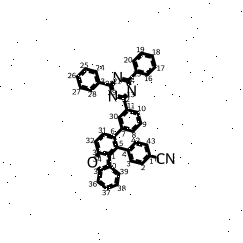 N#Cc1ccc(-c2c(-c3cccc(-c4nc(-c5ccccc5)nc(-c5ccccc5)n4)c3)ccc3oc4ccccc4c23)cc1